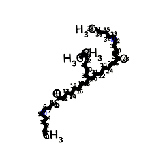 CCCCC/C=C\CCSC(=O)CCCCCCCC(CCCCCCCC(=O)SCC/C=C\CCCCC)CCCCN(C)C